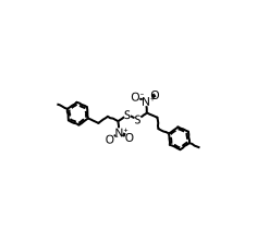 Cc1ccc(CCC(SSC(CCc2ccc(C)cc2)[N+](=O)[O-])[N+](=O)[O-])cc1